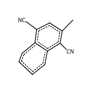 Cc1[c]c(C#N)c2ccccc2c1C#N